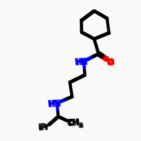 CC(C)C(C)NCCCNC(=O)C1CCCCC1